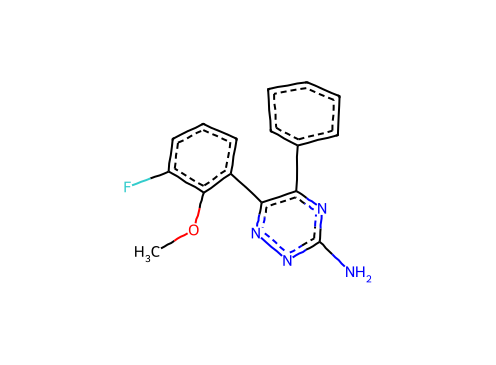 COc1c(F)cccc1-c1nnc(N)nc1-c1ccccc1